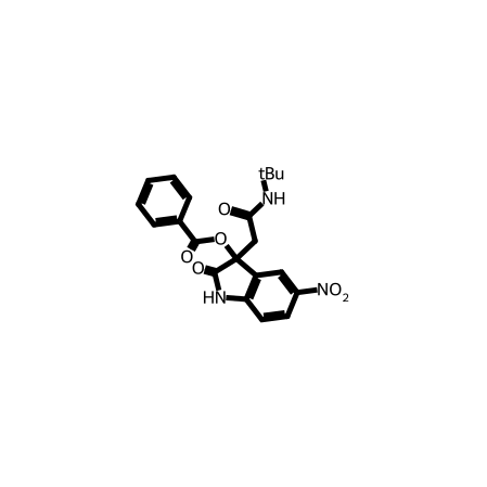 CC(C)(C)NC(=O)CC1(OC(=O)c2ccccc2)C(=O)Nc2ccc([N+](=O)[O-])cc21